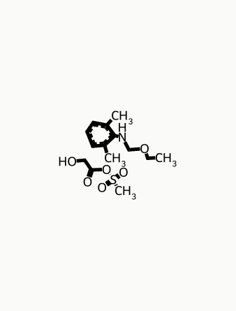 CCOCNc1c(C)cccc1C.CS(=O)(=O)OC(=O)CO